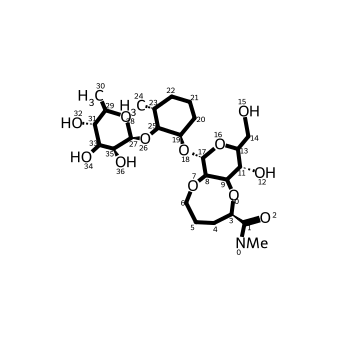 CNC(=O)[C@H]1CCCOC2C(O1)[C@@H](O)C(CO)O[C@H]2O[C@@H]1CCC[C@@H](C)C1O[C@@H]1OC(C)[C@@H](O)C(O)[C@@H]1O